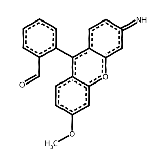 COc1ccc2c(-c3ccccc3C=O)c3ccc(=N)cc-3oc2c1